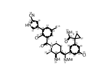 CN/C(=C1/CCN(C(=O)c2cc(F)cc(-c3c[nH]c(C#N)c3)c2Cl)[C@H](C)C1=N)c1cc(Cl)cc(C2(C(N)=O)CC2)c1